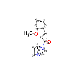 COc1ccccc1C=CC(=O)N1CCN2CCC1CC2